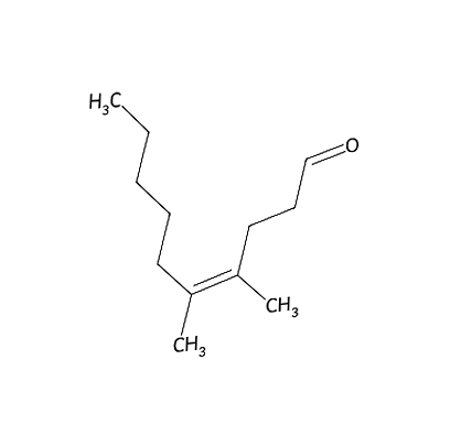 CCCCCC(C)=C(C)CCC=O